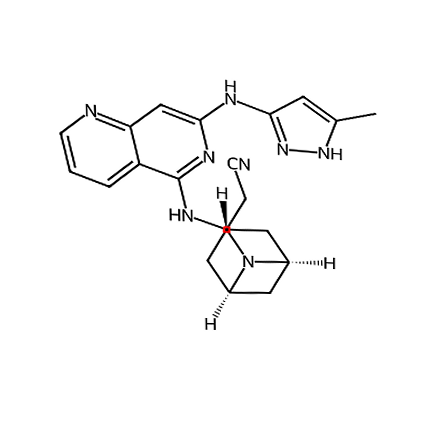 Cc1cc(Nc2cc3ncccc3c(N[C@H]3C[C@@H]4C[C@H](C3)N4CCC#N)n2)n[nH]1